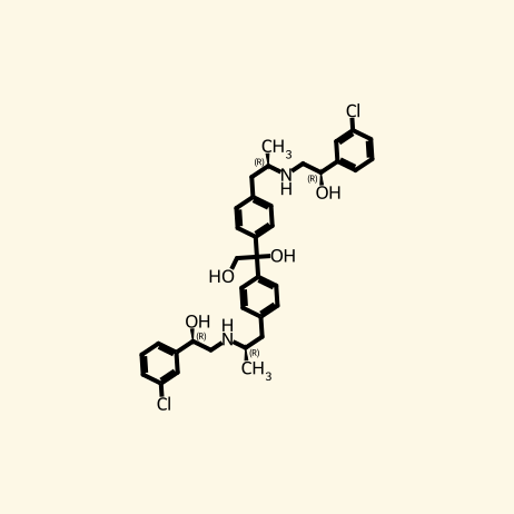 C[C@H](Cc1ccc(C(O)(CO)c2ccc(C[C@@H](C)NC[C@H](O)c3cccc(Cl)c3)cc2)cc1)NC[C@H](O)c1cccc(Cl)c1